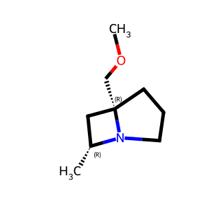 COC[C@]12CCCN1[C@H](C)C2